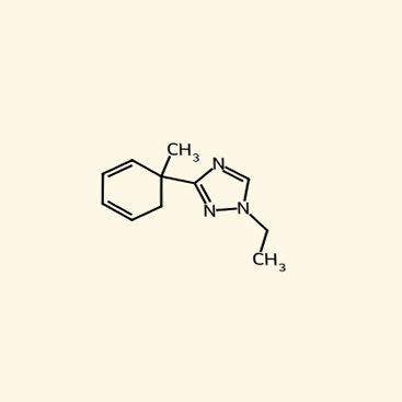 CCn1cnc(C2(C)C=CC=CC2)n1